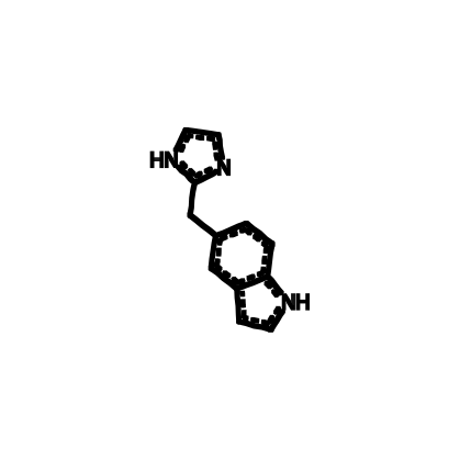 c1c[nH]c(Cc2ccc3[nH]ccc3c2)n1